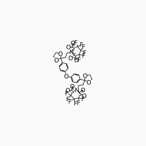 O=S1(=O)N(CCC2(c3ccc(Oc4ccc(C5(CCN6S(=O)(=O)C(F)(F)C(F)(F)C(F)(F)S6(=O)=O)OCCO5)cc4)cc3)OCCO2)S(=O)(=O)C(F)(F)C(F)(F)C1(F)F